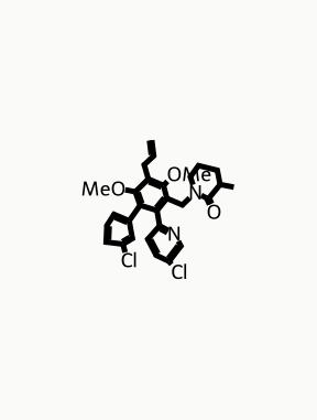 C=CCc1c(OC)c(CN2CCCC(C)C2=O)c(-c2ccc(Cl)cn2)c(-c2cccc(Cl)c2)c1OC